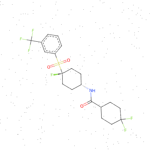 O=C(N[C@H]1CC[C@@](F)(S(=O)(=O)c2cccc(C(F)(F)F)c2)CC1)C1CCC(F)(F)CC1